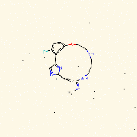 C/N=C1\C=C/C2N=CC(=N2)c2cc(ccc2F)OCCNCCCN1